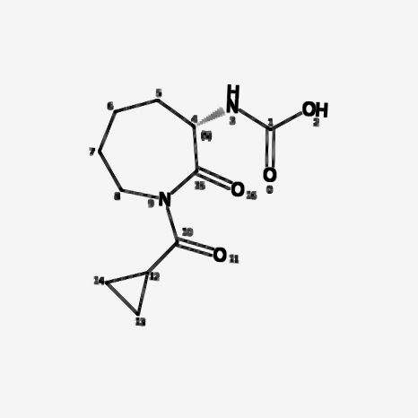 O=C(O)N[C@H]1CCCCN(C(=O)C2CC2)C1=O